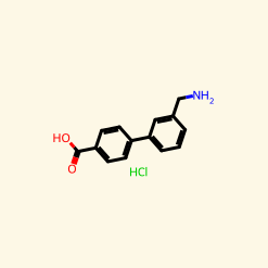 Cl.NCc1cccc(-c2ccc(C(=O)O)cc2)c1